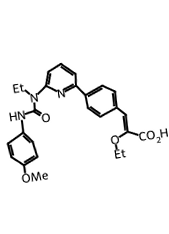 CCOC(=Cc1ccc(-c2cccc(N(CC)C(=O)Nc3ccc(OC)cc3)n2)cc1)C(=O)O